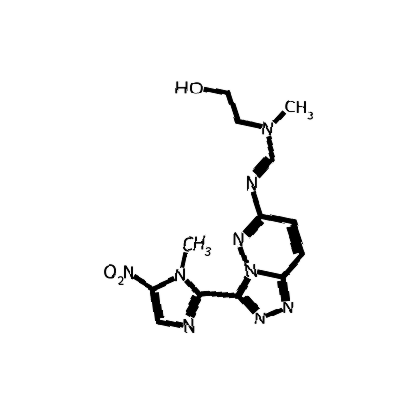 CN(C=Nc1ccc2nnc(-c3ncc([N+](=O)[O-])n3C)n2n1)CCO